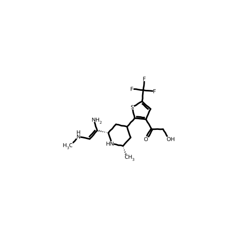 CN/C=C(\N)[C@@H]1CC(c2sc(C(F)(F)F)cc2C(=O)CO)C[C@H](C)N1